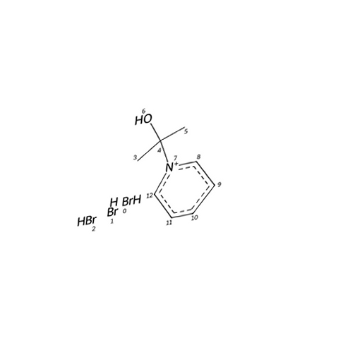 Br.Br.Br.CC(C)(O)[n+]1ccccc1